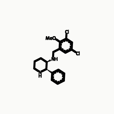 COc1c(Cl)cc(Cl)cc1CN[C@H]1CCCN[C@H]1c1ccccc1